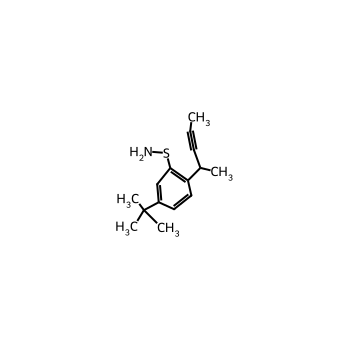 CC#CC(C)c1ccc(C(C)(C)C)cc1SN